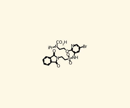 CC(C)N(CCOc1ncc(Br)cc1NS(=O)(=O)CCN1C(=O)c2ccccc2C1=O)C(=O)O